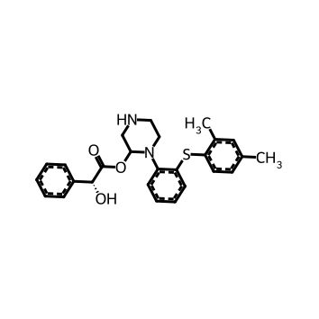 Cc1ccc(Sc2ccccc2N2CCNCC2OC(=O)[C@H](O)c2ccccc2)c(C)c1